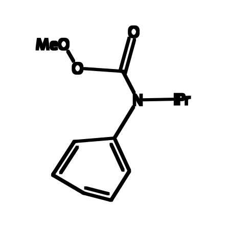 COOC(=O)N(c1ccccc1)C(C)C